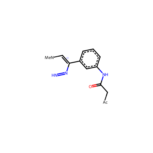 CN/C=C(\N=N)c1cccc(NC(=O)CC(C)=O)c1